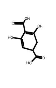 O=C(O)C1=C(O)CC(C(=O)O)C=C1O